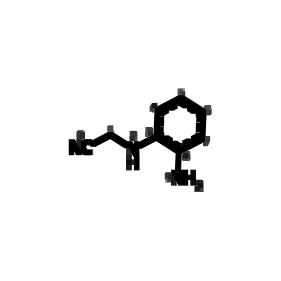 N#CCNc1ccccc1N